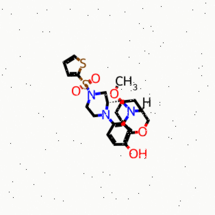 COC1CC2COC[C@H](C1)N2C[C@H]1CN(S(=O)(=O)c2cccs2)CCN1c1ccc(O)cc1